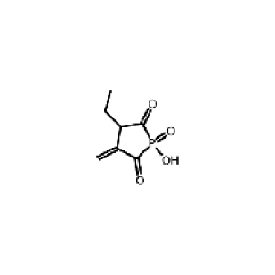 C=C1C(=O)P(=O)(O)C(=O)C1CC